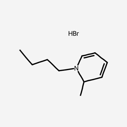 Br.CCCCN1C=CC=CC1C